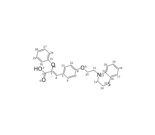 O=C(O)/C(=C/c1ccc(OCCN2CCSc3ccccc32)cc1)Oc1ccccc1